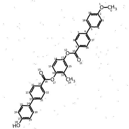 COc1ccc(-c2ccc(C(=O)Oc3ccc(OC(=O)c4ccc(-c5ccc(O)cc5)cc4)c(C)c3)cc2)cc1